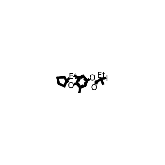 CCC1(Oc2c(C)cc(OC(=O)C(C)(I)CC)cc2C)CCCC1